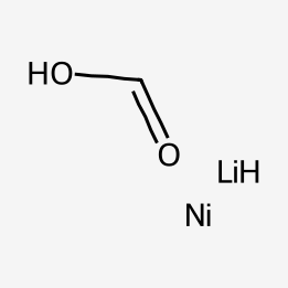 O=CO.[LiH].[Ni]